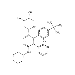 Cc1cc(C(C)(C)C)ccc1N(C(=O)C1CC(C)C(O)CN1)C(C(=O)NC1CCCCC1)c1cccnc1